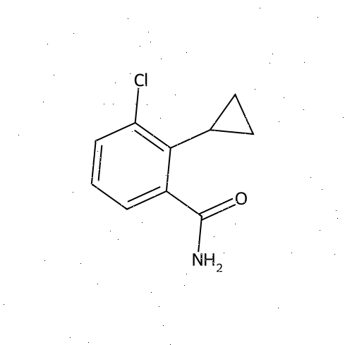 NC(=O)c1cccc(Cl)c1C1CC1